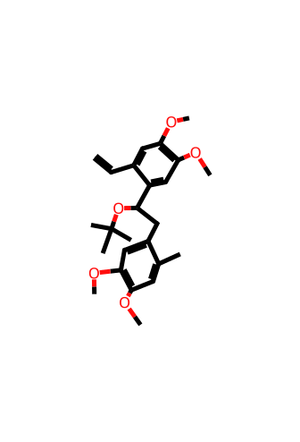 C=Cc1cc(OC)c(OC)cc1C(Cc1cc(OC)c(OC)cc1C)OC(C)(C)C